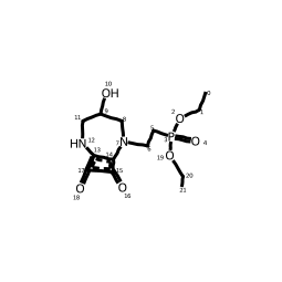 CCOP(=O)(CCN1CC(O)CNc2c1c(=O)c2=O)OCC